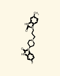 Cc1ccc2c(c1)[nH]c(=O)n2CCCN1CCC(n2c(=O)[nH]c3cc(F)ccc32)CC1